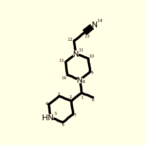 CC(C1CCNCC1)N1CCN(CC#N)CC1